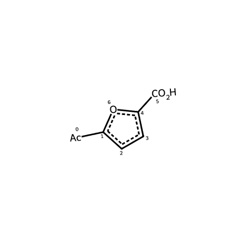 CC(=O)c1ccc(C(=O)O)o1